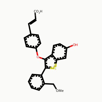 COCc1ccccc1-c1sc2cc(O)ccc2c1Oc1ccc(C=CC(=O)O)cc1